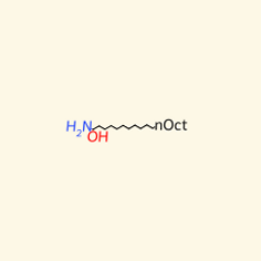 CCCCCCCCCCCCCCCCCCC(N)O